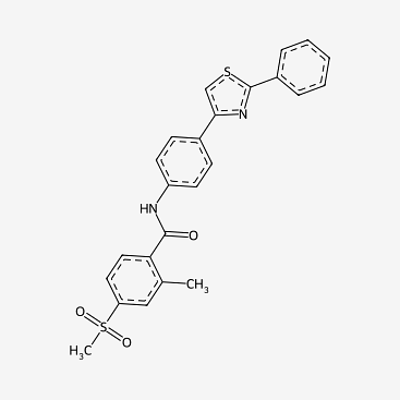 Cc1cc(S(C)(=O)=O)ccc1C(=O)Nc1ccc(-c2csc(-c3ccccc3)n2)cc1